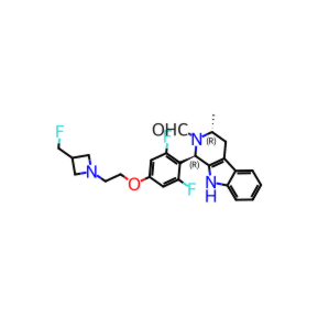 C[C@@H]1Cc2c([nH]c3ccccc23)[C@@H](c2c(F)cc(OCCN3CC(CF)C3)cc2F)N1C=O